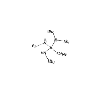 CCN[Si](NC(C)(C)C)(OC)N(C(C)(C)C)C(C)(C)C